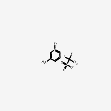 CC[n+]1cccc(C)c1.O=S(=O)([O-])C(F)(F)C(F)(F)F